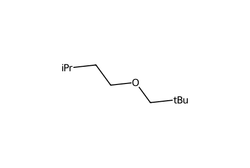 CC(C)CCOCC(C)(C)C